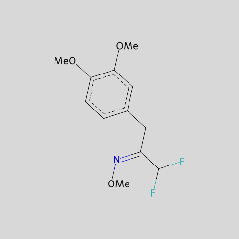 CON=C(Cc1ccc(OC)c(OC)c1)C(F)F